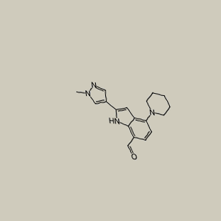 Cn1cc(-c2cc3c(N4CCCCC4)ccc(C=O)c3[nH]2)cn1